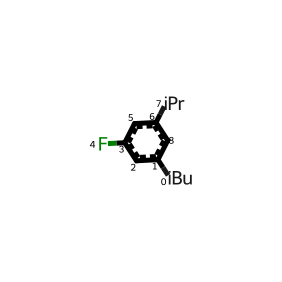 CCC(C)c1cc(F)cc(C(C)C)c1